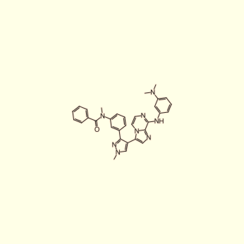 CN(C)c1cccc(Nc2nccn3c(-c4cn(C)nc4-c4cccc(N(C)C(=O)c5ccccc5)c4)cnc23)c1